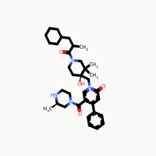 CC(CC1CCCCC1)C(=O)N1CC[C@@](O)(Cn2cc(C(=O)N3CCN[C@H](C)C3)c(-c3ccccc3)cc2=O)C(C)(C)C1